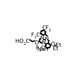 CCC(CC)Oc1ccc(C(F)(F)F)cc1CN(Cc1cc(C(F)(F)F)cc(C(F)(F)F)c1)c1ncc(OCCCC(=O)O)cn1.[NaH]